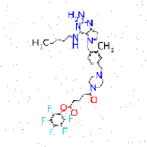 CCCCCNc1nc(N)nc2ccn(Cc3ccc(CN4CCN(C(=O)CCCC(=O)Oc5c(F)c(F)c(F)c(F)c5F)CC4)cc3C)c12